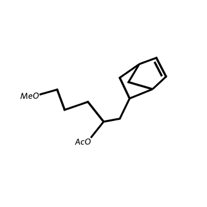 COCCCC(CC1CC2C=CC1C2)OC(C)=O